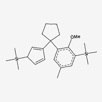 COc1c(C2(C3=CC([Si](C)(C)C)C=C3)CCCC2)cc(C)cc1[Si](C)(C)C